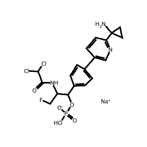 NC1(c2ccc(-c3ccc(C(OP(=O)([O-])O)C(CF)NC(=O)C(Cl)Cl)cc3)cn2)CC1.[Na+]